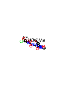 COC(=O)c1ccc2c3cn(C4CCCCO4)nc3c(=O)n(CCCNC(=O)CCN(Cc3ccc(OC(F)(F)F)c(Cl)c3)C(=O)OC(C)(C)C)c2c1